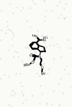 CC(C)(C)OC(=O)N(CCOS)[C@@H]1CCc2c(C(=N)NO)cccc21